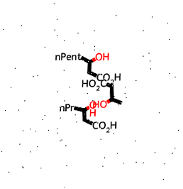 CC(O)CC(=O)O.CCCC(O)CC(=O)O.CCCCCC(O)CC(=O)O